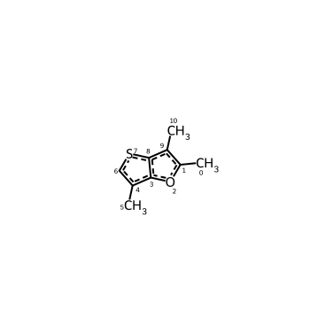 Cc1oc2c(C)csc2c1C